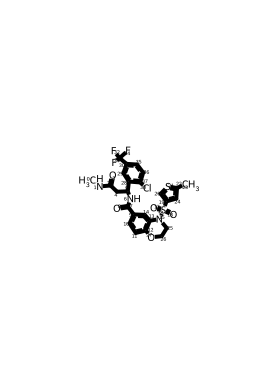 CNC(=O)CC(NC(=O)c1ccc2c(c1)N(S(=O)(=O)c1csc(C)c1)CCO2)c1cc(C(F)(F)F)ccc1Cl